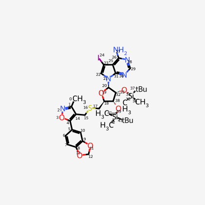 Cc1noc(-c2ccc3c(c2)OCO3)c1CSC[C@H]1O[C@@H](n2cc(I)c3c(N)ncnc32)[C@H](O[Si](C)(C)C(C)(C)C)[C@@H]1O[Si](C)(C)C(C)(C)C